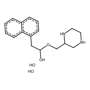 Cl.Cl.OC(Cc1cccc2ccccc12)OCC1CNCCN1